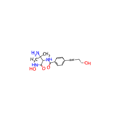 CC(C)(N)C(NC(=O)c1ccc(C#CCCO)cc1)C(=O)NO